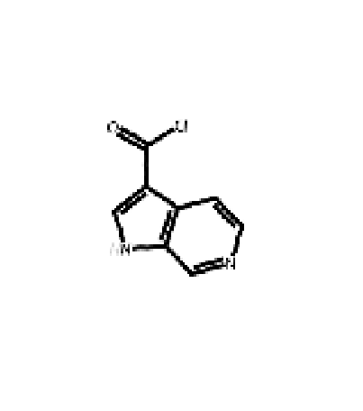 O=C(Cl)c1c[nH]c2cnccc12